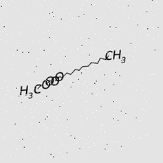 CCCCCCCCCCCCOOOOCC